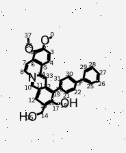 COc1ccc2c(cc[n+]3cc4cc(CO)c(CO)c(-c5ccc(-c6ccccc6)cc5)c4cc23)c1OC